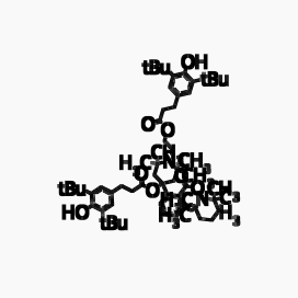 CC(C)(C)c1cc(CCC(=O)OCCN2C(C)(C)CC(OC(=O)CCc3cc(C(C)(C)C)c(O)c(C(C)(C)C)c3)(c3ccccc3C(=O)ON3C(C)(C)CCCC3(C)C)CC2(C)C)cc(C(C)(C)C)c1O